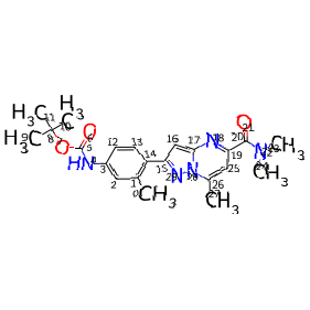 Cc1cc(NC(=O)OC(C)(C)C)ccc1-c1cc2nc(C(=O)N(C)C)cc(C)n2n1